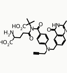 C#CCN(Cc1ccc2nc(C)[nH]c(=O)c2c1)c1ccc(C(=O)N(C(=O)CC[C@H](N)C(=O)O)C(C)(C)C(=O)O)cc1